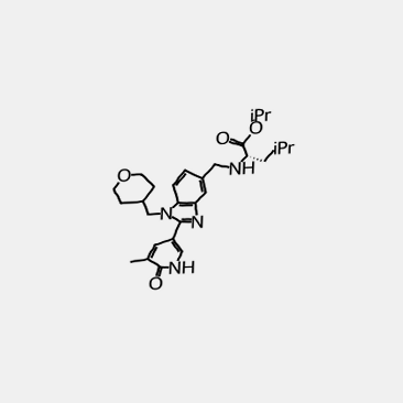 Cc1cc(-c2nc3cc(CN[C@@H](CC(C)C)C(=O)OC(C)C)ccc3n2CC2CCOCC2)c[nH]c1=O